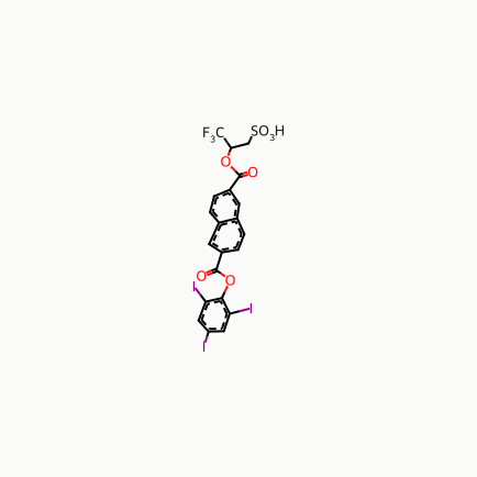 O=C(Oc1c(I)cc(I)cc1I)c1ccc2cc(C(=O)OC(CS(=O)(=O)O)C(F)(F)F)ccc2c1